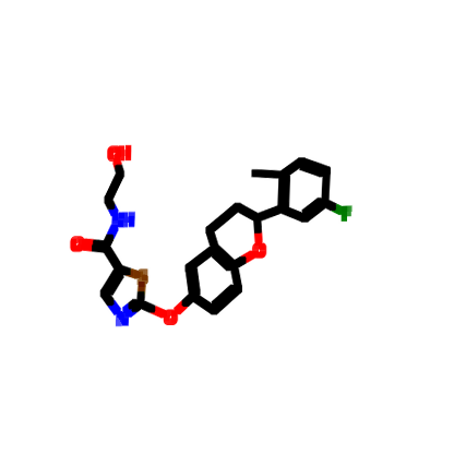 Cc1ccc(F)cc1C1CCc2cc(Oc3ncc(C(=O)NCCO)s3)ccc2O1